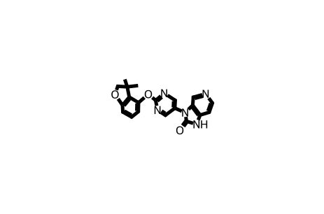 CC1(C)COc2cccc(Oc3ncc(-n4c(=O)[nH]c5ccncc54)cn3)c21